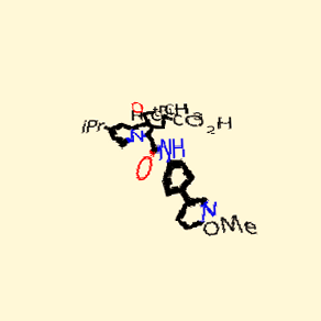 COc1ccc(-c2ccc(NC(=O)c3c(CC(C)(C)C(=O)O)c(C(=O)C(C)(C)C)c4cc(C(C)C)ccn34)cc2)cn1